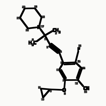 CC(C)(C#Cc1cc(OC2CC2)c(C#N)cc1F)N1CCCCC1